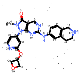 CC(C)n1c(=O)c2cnc(Nc3ccc4c(c3)CCNC4)nc2n1-c1ccnc(OC2COC2)c1